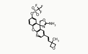 CC1(C=Cc2cnc3c(c2)[C@]2(COC(N)=N2)c2cc(OS(=O)(=O)C(F)(F)F)ccc2O3)COC1